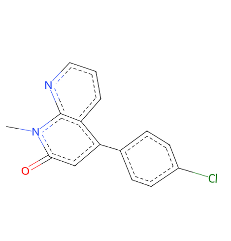 Cn1c(=O)cc(-c2ccc(Cl)cc2)c2cccnc21